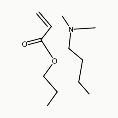 C=CC(=O)OCCC.CCCCN(C)C